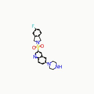 O=S(=O)(c1cnc2ccc(N3CCNCC3)cc2c1)N1Cc2ccc(F)cc2C1